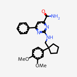 COc1ccc(C2(CNc3nc(C(N)=O)cc(-c4ccccc4)n3)CCCC2)cc1OC